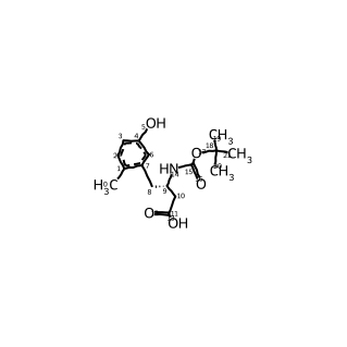 Cc1ccc(O)cc1C[C@@H](CC(=O)O)NC(=O)OC(C)(C)C